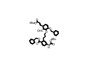 CC(C)(C)OC(=O)C=Cc1ccc(OCc2ccccc2)c(OCCCc2cc(NC(=O)OC(C)(C)C)ccc2C(=O)OCc2ccccc2)c1C=O